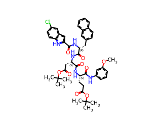 COc1cccc(NC(=O)[C@H](CCC(=O)OC(C)(C)C)NC(=O)[C@H](CC(=O)OC(C)(C)C)NC(=O)[C@@H](Cc2ccc3ccccc3c2)NC(=O)c2cc3cc(Cl)ccc3[nH]2)c1